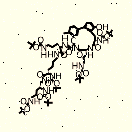 Cc1ccc2cc1C[C@@H](C(=O)N[C@H](CCCNC(=O)OC(C)(C)C)C(=O)NCCCC[C@H](NC(=O)OC(C)(C)C)C(=O)NC[C@H](CCCNC(=O)OC(C)(C)C)NC(=O)OC(C)(C)C)NC(=O)[C@H](CCCNC(=O)OC(C)(C)C)NC(=O)[C@@H](NC(=O)OC(C)(C)C)Cc1cc-2ccc1O